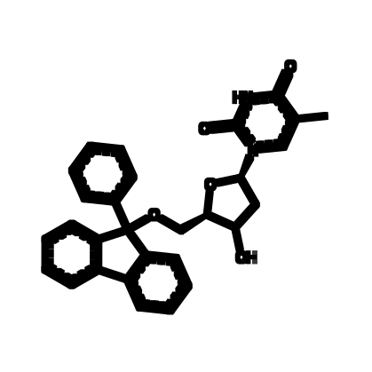 Cc1cn([C@H]2CC(O)[C@@H](COC3(c4ccccc4)c4ccccc4-c4ccccc43)O2)c(=O)[nH]c1=O